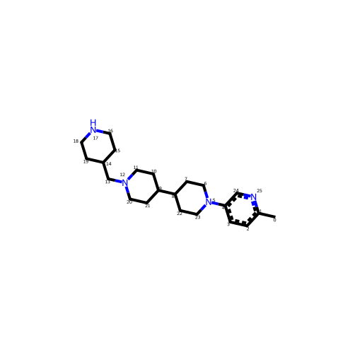 Cc1ccc(N2CCC(C3CCN(CC4CCNCC4)CC3)CC2)cn1